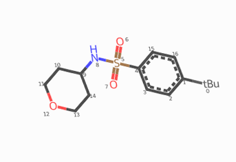 CC(C)(C)c1ccc(S(=O)(=O)NC2CCOCC2)cc1